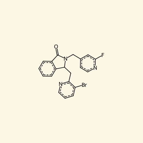 O=C1c2ccccc2C(Cc2ncccc2Br)N1Cc1ccnc(F)c1